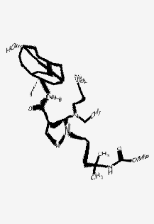 COCCN(C)c1c(C(=O)N[C@H]2C3CC4CC2C[C@](O)(C4)C3)cnn1/C=C/C(C)(C)NC(=O)OC